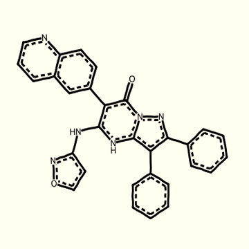 O=c1c(-c2ccc3ncccc3c2)c(Nc2ccon2)[nH]c2c(-c3ccccc3)c(-c3ccccc3)nn12